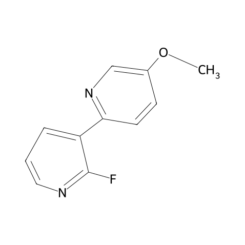 COc1ccc(-c2cccnc2F)nc1